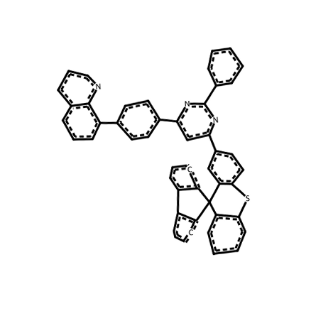 c1ccc(-c2nc(-c3ccc(-c4cccc5cccnc45)cc3)cc(-c3ccc4c(c3)C3(c5ccccc5S4)c4ccccc4-c4ccccc43)n2)cc1